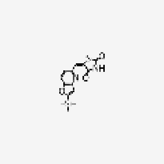 C[Si](C)(C)c1cc2nc(C=C3SC(=O)NC3=O)ccc2o1